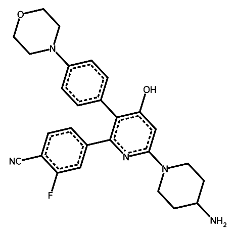 N#Cc1ccc(-c2nc(N3CCC(N)CC3)cc(O)c2-c2ccc(N3CCOCC3)cc2)cc1F